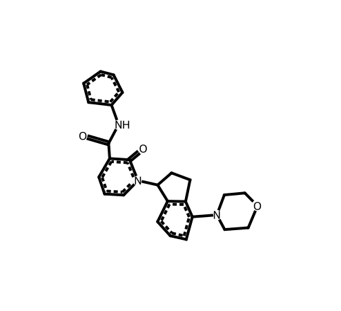 O=C(Nc1ccccc1)c1cccn(C2CCc3c2cccc3N2CCOCC2)c1=O